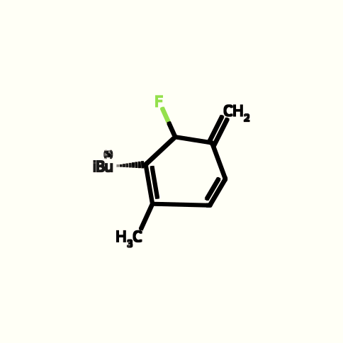 C=C1C=CC(C)=C([C@@H](C)CC)C1F